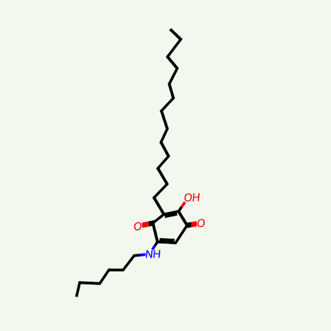 CCCCCCCCCCCCCC1=C(O)C(=O)C=C(NCCCCCC)C1=O